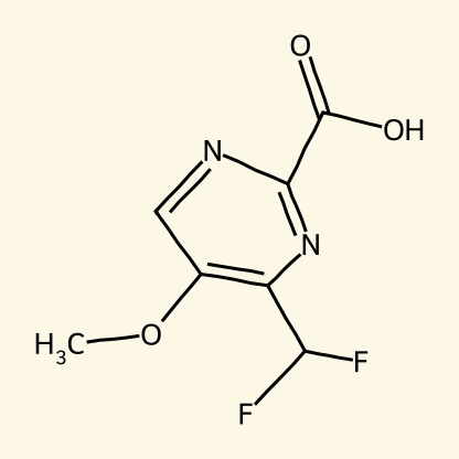 COc1cnc(C(=O)O)nc1C(F)F